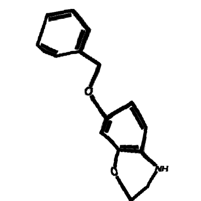 c1ccc(COc2ccc3c(c2)OCCN3)cc1